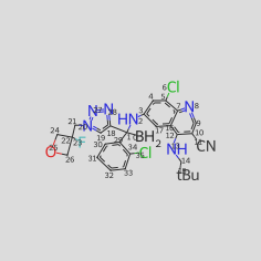 BC(Nc1cc(Cl)c2ncc(C#N)c(NCC(C)(C)C)c2c1)(c1cn(CC2(F)COC2)nn1)c1ccccc1Cl